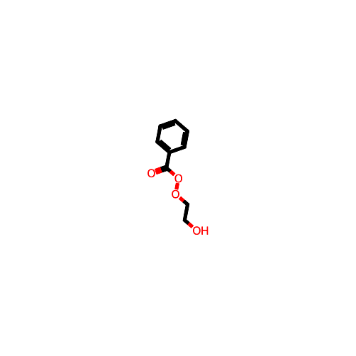 O=C(OOCCO)c1ccccc1